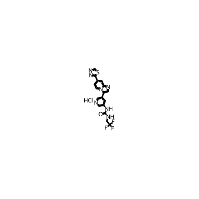 Cl.O=C(NCC(F)(F)F)Nc1cncc(-c2cnc3cc(-c4nncs4)ccn23)c1